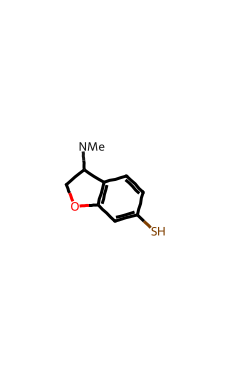 CNC1COc2cc(S)ccc21